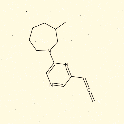 C=C=Cc1cncc(N2CCCCC(C)C2)n1